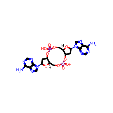 Nc1ncnc2c1ncn2[C@H]1CC2OP(=O)(O)OC[C@H]3O[C@@H](n4cnc5c(N)ncnc54)CC3OP(=O)(O)OC[C@H]2O1